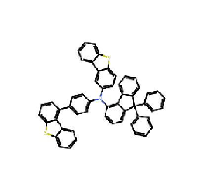 c1ccc(C2(c3ccccc3)c3ccccc3-c3c(N(c4ccc(-c5cccc6sc7ccccc7c56)cc4)c4ccc5sc6ccccc6c5c4)cccc32)cc1